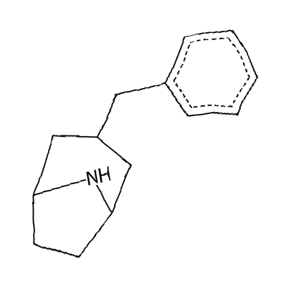 c1ccc(CC2CC3CCC(C2)N3)cc1